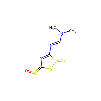 CN(C)C=NC1=NC(=S=O)SS1=S